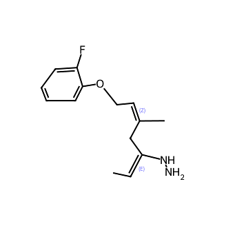 C/C=C(\C/C(C)=C\COc1ccccc1F)NN